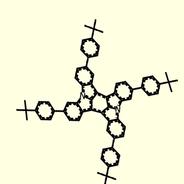 CC(C)(C)c1ccc(-c2ccc3c(c2)c2c4c5ccc(-c6ccc(C(C)(C)C)cc6)cc5n5c6ccc(-c7ccc(C(C)(C)C)cc7)cc6c(c6c7ccc(-c8ccc(C(C)(C)C)cc8)cc7n3c26)c45)cc1